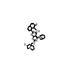 C#Cc1c(F)ccc2cccc(-c3ncc4c(N5CC6CCC(C5)N6)nc(OCC56CCCN5C[C@H](F)C6)nc4n3)c12